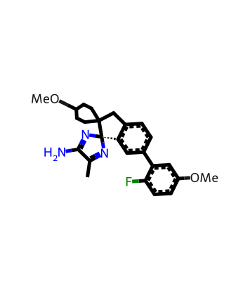 COc1ccc(F)c(-c2ccc3c(c2)[C@@]2(N=C(C)C(N)=N2)C2(CCC(OC)CC2)C3)c1